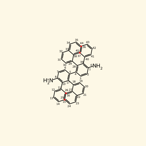 Nc1ccc(-c2ccc(N)c(-c3ccccc3)c2-c2cccc3ccccc23)c(-c2cccc3ccccc23)c1-c1ccccc1